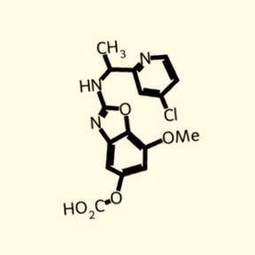 COc1cc(OC(=O)O)cc2nc(NC(C)c3cc(Cl)ccn3)oc12